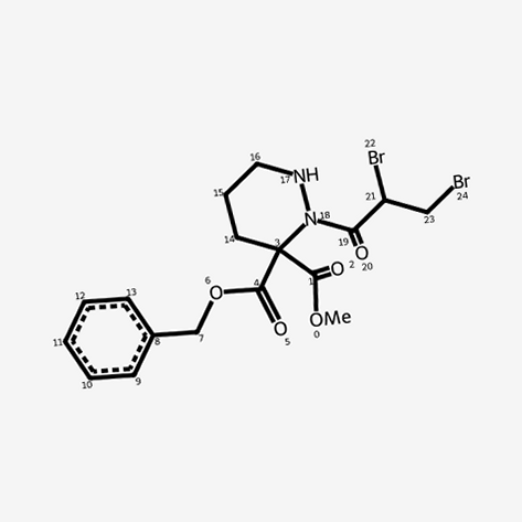 COC(=O)C1(C(=O)OCc2ccccc2)CCCNN1C(=O)C(Br)CBr